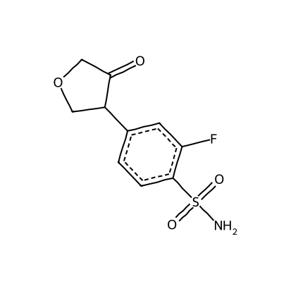 NS(=O)(=O)c1ccc(C2COCC2=O)cc1F